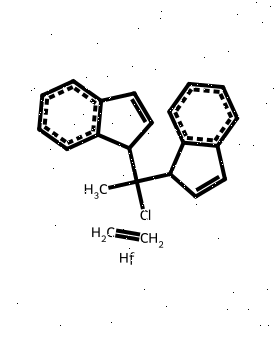 C=C.CC(Cl)(C1C=Cc2ccccc21)C1C=Cc2ccccc21.[Hf]